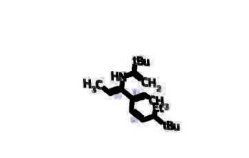 C=C(NC(=C\C)/C(/C=C\C(CC)C(C)(C)C)=C/C)C(C)(C)C